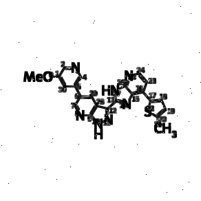 COc1cncc(-c2cnc3[nH]nc(-c4nc5c(-c6ccc(C)s6)ccnc5[nH]4)c3c2)c1